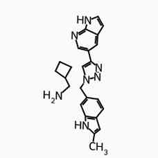 Cc1cc2ccc(Cn3cc(-c4cnc5[nH]ccc5c4)nn3)cc2[nH]1.NCC1CCC1